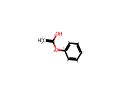 C=C(O)Oc1ccccc1